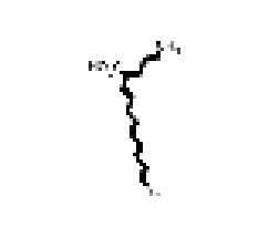 CC=CC=C(C=CCC=CC=CC=CCC)C(=O)O